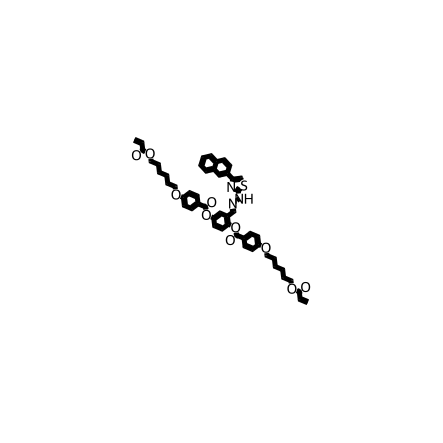 C=CC(=O)OCCCCCCOc1ccc(C(=O)Oc2ccc(OC(=O)c3ccc(OCCCCCCOC(=O)C=C)cc3)c(/C=N/Nc3nc(-c4ccc5ccccc5c4)cs3)c2)cc1